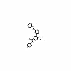 CCS(=O)(=O)Nc1cc2oc(-c3ccc(F)cc3)c(C(=O)NC)c2cc1-c1cccc(-c2nc3c(C)cccc3s2)c1